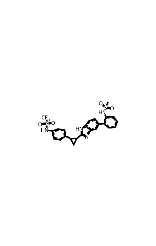 CS(=O)(=O)Nc1ccccc1-c1ccc2[nH]c(C3CC3c3ccc(NS(=O)(=O)C(F)(F)F)cc3)nc2c1